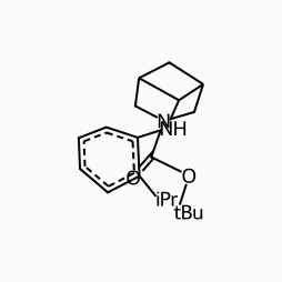 CC(C)c1ccccc1NC1C2CC1CN(C(=O)OC(C)(C)C)C2